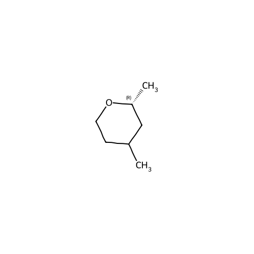 CC1CCO[C@H](C)C1